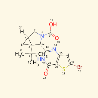 CC(C)(C)[C@]12C[C@H]1CN(C(=O)O)[C@@H]2c1nc2cc(Br)sc2c(=O)[nH]1